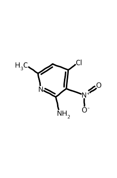 Cc1cc(Cl)c([N+](=O)[O-])c(N)n1